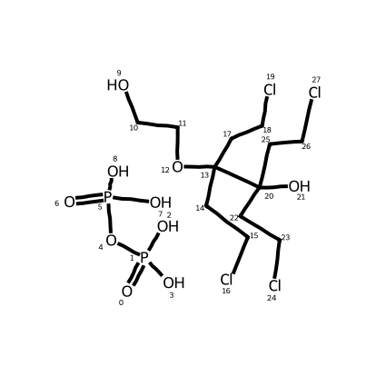 O=P(O)(O)OP(=O)(O)O.OCCOC(CCCl)(CCCl)C(O)(CCCl)CCCl